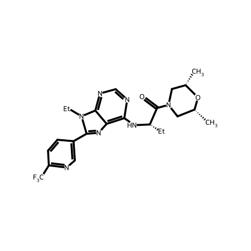 CC[C@H](Nc1ncnc2c1nc(-c1ccc(C(F)(F)F)nc1)n2CC)C(=O)N1C[C@@H](C)O[C@@H](C)C1